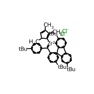 CC1=CC(C)[C]([Zr+2](=[C](c2ccc(C(C)(C)C)cc2)c2ccc(C(C)(C)C)cc2)[c]2c(C(C)(C)C)ccc3c2Cc2cc(C(C)(C)C)ccc2-3)=C1C.[Cl-].[Cl-]